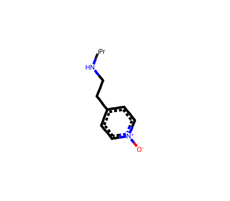 CC(C)NCCc1cc[n+]([O-])cc1